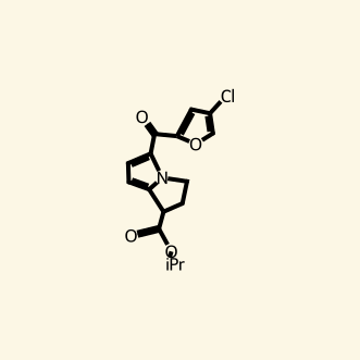 CC(C)OC(=O)C1CCn2c(C(=O)c3cc(Cl)co3)ccc21